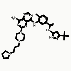 Cc1ccc(C(=O)Nc2cc(C(C)(C)C)n[nH]2)cc1Nc1ncnc2c(N)nc(N3CCN(CCCN4CCCC4)CC3)nc12